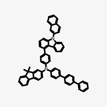 CC1(C)c2ccccc2-c2ccc(N(c3ccc(-c4ccc(-c5ccccc5)cc4)cc3)c3ccc(-c4cccc5c4c4ccccc4n5-c4ccc5ccccc5c4)cc3)cc21